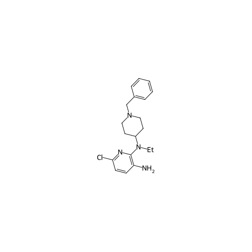 CCN(c1nc(Cl)ccc1N)C1CCN(Cc2ccccc2)CC1